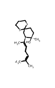 CC(C)=CC/C=C(\C)[C@H]1CC2(CC[C@@]1(C)O)SCCCS2